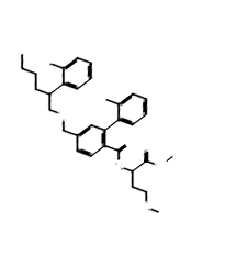 CCCCC(COCc1ccc(C(=O)NC(CCSC)C(=O)OC)c(-c2ccccc2C)c1)c1ccccc1Cl